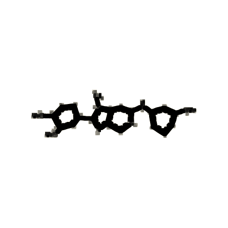 COc1cccc(Nc2cc3c(cn2)nc(-c2ccc(OC)c(OC)c2)n3C)c1